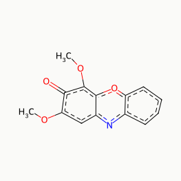 COc1cc2nc3ccccc3oc-2c(OC)c1=O